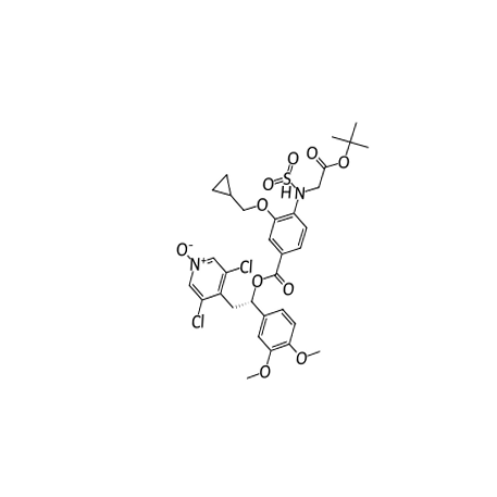 COc1ccc([C@H](Cc2c(Cl)c[n+]([O-])cc2Cl)OC(=O)c2ccc(N(CC(=O)OC(C)(C)C)[SH](=O)=O)c(OCC3CC3)c2)cc1OC